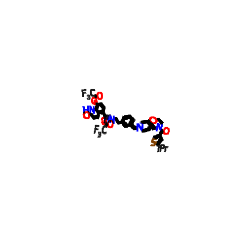 CC(C)c1cc(C(=O)N2CCOC3(CCN(Cc4cccc(CCNC[C@H](OC(=O)C(F)(F)F)c5ccc(OC(=O)C(F)(F)F)c6[nH]c(=O)ccc56)c4)CC3)C2)cs1